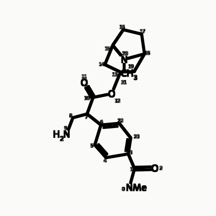 CNC(=O)c1ccc(C(CN)C(=O)OC2CC3CCC(C2)N3C)cc1